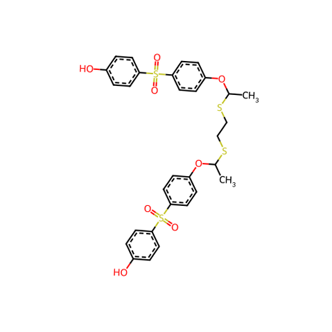 CC(Oc1ccc(S(=O)(=O)c2ccc(O)cc2)cc1)SCCSC(C)Oc1ccc(S(=O)(=O)c2ccc(O)cc2)cc1